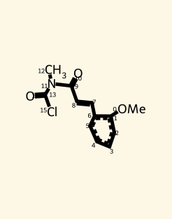 COc1ccccc1C=CC(=O)N(C)C(=O)Cl